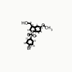 COc1ccc2c(c1)c(CO)cn2S(=O)(=O)c1ccc(Br)cc1